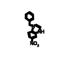 O=[N+]([O-])c1ccc2c(c1)NC=CN2Cc1ccccc1